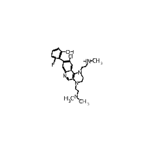 CNCCN1CCN(CCN(C)C)c2cnc3cc(-c4c(O)cccc4F)c(Cl)cc3c21